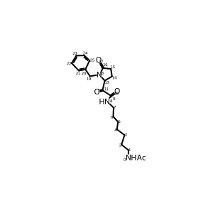 CC(=O)NCCCCCCCNC(=O)C(=O)C1CCC(=O)N1Cc1ccccc1